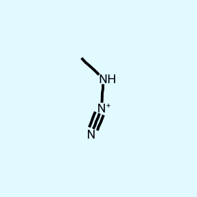 CN[N+]#N